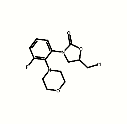 O=C1OC(CCl)CN1c1cccc(F)c1N1CCOCC1